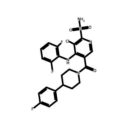 NS(=O)(=O)c1ncc(C(=O)N2CCC(c3ccc(F)cc3)CC2)c(Nc2c(F)cccc2F)c1Cl